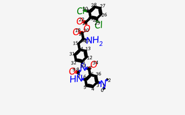 CN(C)c1ccc2[nH]c(=O)n(-c3ccc(C[C@H](N)C(=O)OC(=O)c4c(Cl)cccc4Cl)cc3)c(=O)c2c1